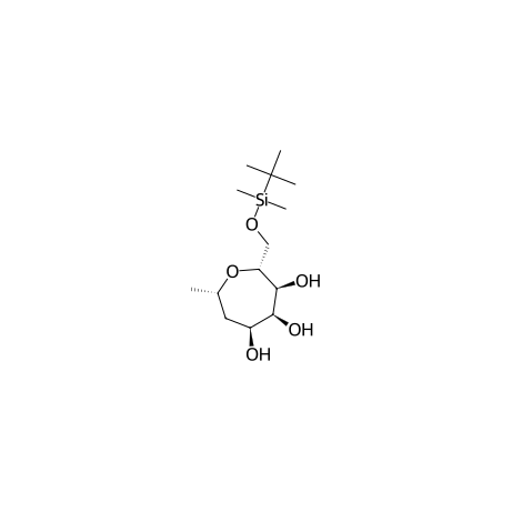 C[C@H]1C[C@H](O)[C@H](O)[C@H](O)[C@@H](CO[Si](C)(C)C(C)(C)C)O1